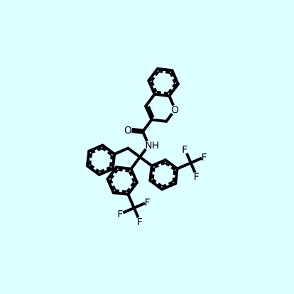 O=C(NC(Cc1ccccc1)(c1cccc(C(F)(F)F)c1)c1cccc(C(F)(F)F)c1)C1=Cc2ccccc2OC1